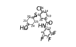 O=C(Nc1cc(F)c(F)c(F)c1)c1ccc(Cl)c(S[C@H]2CC[C@H](O)CC2)c1